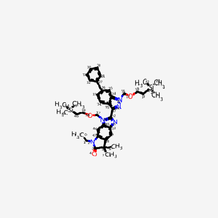 CCN1C(=O)C(C)(C)c2cc3nc(-c4nn(COCC[Si](C)(C)C)c5cc(-c6ccccc6)ccc45)n(COCC[Si](C)(C)C)c3cc21